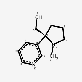 CN1CCC[C@@]1(CO)c1cccnc1